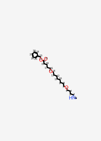 CNCCCCOCCCCCCCCOCCCCC(=O)OCc1ccccc1